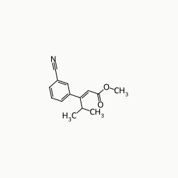 COC(=O)C=C(c1cccc(C#N)c1)C(C)C